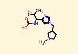 CC(C)[C@H](NC(=O)O)c1cn(CC2CCN(C)C2)cn1